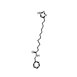 O=C(CCCCCCCCCCCc1c[nH]nn1)NCc1ccccc1